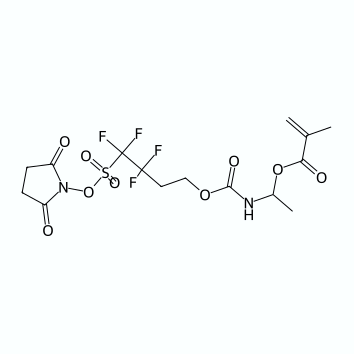 C=C(C)C(=O)OC(C)NC(=O)OCCC(F)(F)C(F)(F)S(=O)(=O)ON1C(=O)CCC1=O